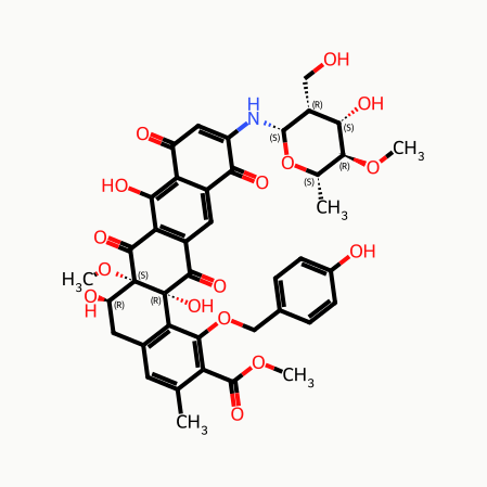 COC(=O)c1c(C)cc2c(c1OCc1ccc(O)cc1)[C@]1(O)C(=O)c3cc4c(c(O)c3C(=O)[C@]1(OC)[C@H](O)C2)C(=O)C=C(N[C@H]1O[C@@H](C)[C@H](OC)[C@@H](O)[C@H]1CO)C4=O